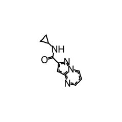 O=C(NC1CC1)c1cc2ncccn2n1